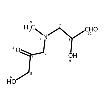 CN(CC(=O)CO)CC(O)C=O